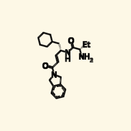 CC[C@H](N)C(=O)N[C@H](/C=C/C(=O)N1Cc2ccccc2C1)CC1CCCCC1